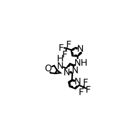 FC(F)(F)c1cncc(Nc2cc(N[C@@]34COCC3C4)nc(-c3cccc(C(F)(F)F)n3)n2)c1